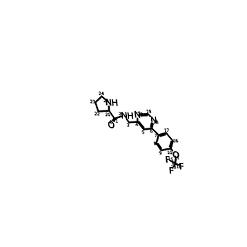 O=C(NCc1cc(-c2ccc(OC(F)(F)F)cc2)ncn1)C1CCCN1